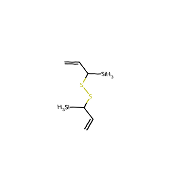 C=CC([SiH3])SSC([SiH3])C=C